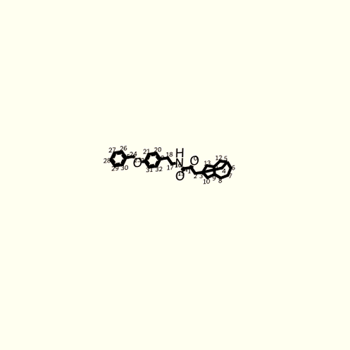 O=C(CC12CC3CCCC(C1)C(C3)C2)C(=O)NCCc1ccc(OCc2ccccc2)cc1